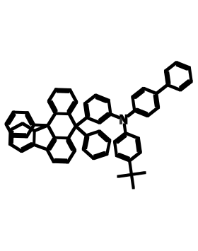 CC(C)(C)c1ccc(N(c2ccc(-c3ccccc3)cc2)c2cccc(C3(c4ccccc4)c4ccccc4C4(c5ccccc5)c5c(cccc53)C3=CC=CCC34)c2)cc1